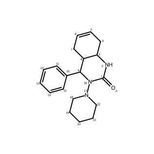 O=C1NC2CC=CCC2C(c2ccccc2)N1N1CCCCC1